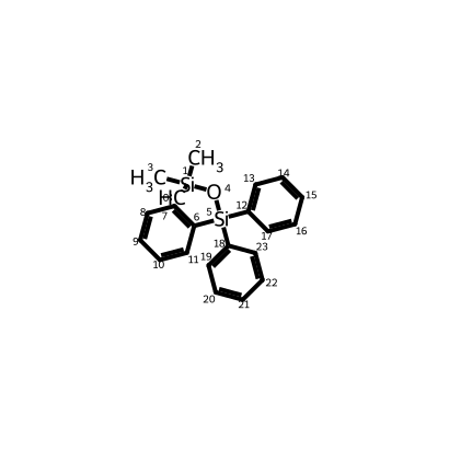 [CH][Si](C)(C)O[Si](c1ccccc1)(c1ccccc1)c1ccccc1